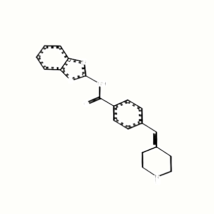 O=C(Nc1nc2ccccc2s1)c1ccc(C=C2CCNCC2)cc1